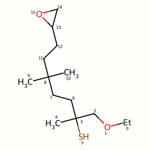 CCOCC(C)(S)CCC(C)(C)CCC1CO1